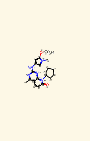 Cc1nc(Nc2cc(OC(=O)O)n(C)c2)nc2c1ccc(=O)n2C1CCCCC1